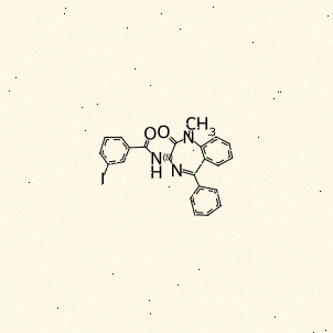 CN1C(=O)[C@@H](NC(=O)c2cccc(I)c2)N=C(c2ccccc2)c2ccccc21